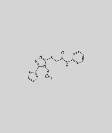 C=Cn1c(SCC(=O)Nc2ccccc2)nnc1-c1cccs1